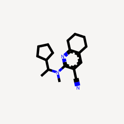 CC(C1CCCC1)N(C)c1nc2c(cc1C#N)CCCC2